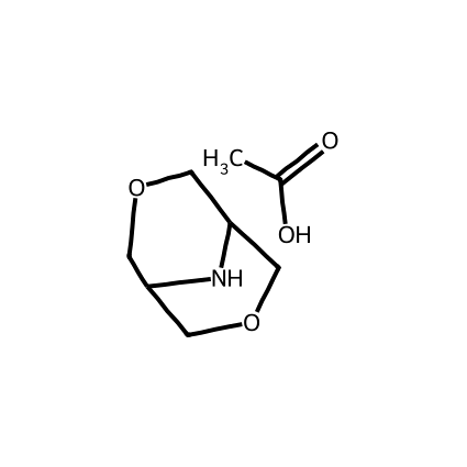 C1OCC2COCC1N2.CC(=O)O